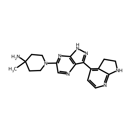 CC1(N)CCN(c2cnc3c(-c4ccnc5c4CCN5)n[nH]c3n2)CC1